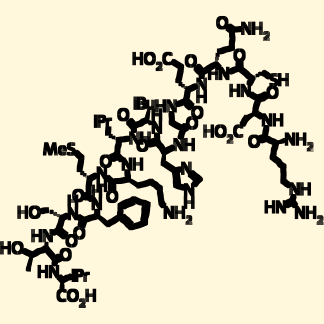 CC[C@H](C)[C@H](NC(=O)[C@H](Cc1c[nH]cn1)NC(=O)CNC(=O)[C@H](CCC(=O)O)NC(=O)[C@H](CCC(N)=O)NC(=O)[C@H](CS)NC(=O)[C@H](CC(=O)O)NC(=O)[C@@H](N)CCCNC(=N)N)C(=O)N[C@@H](CC(C)C)C(=O)N[C@@H](CCCCN)C(=O)N[C@@H](CCSC)C(=O)N[C@@H](Cc1ccccc1)C(=O)N[C@@H](CO)C(=O)N[C@H](C(=O)N[C@H](C(=O)O)C(C)C)[C@@H](C)O